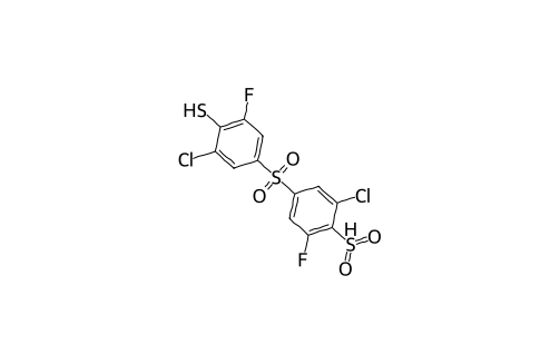 O=[SH](=O)c1c(F)cc(S(=O)(=O)c2cc(F)c(S)c(Cl)c2)cc1Cl